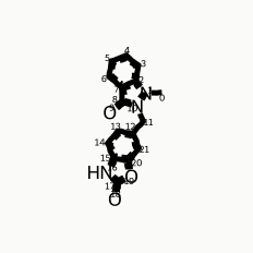 Cn1c2ccccc2c(=O)n1Cc1ccc2[nH]c(=O)oc2c1